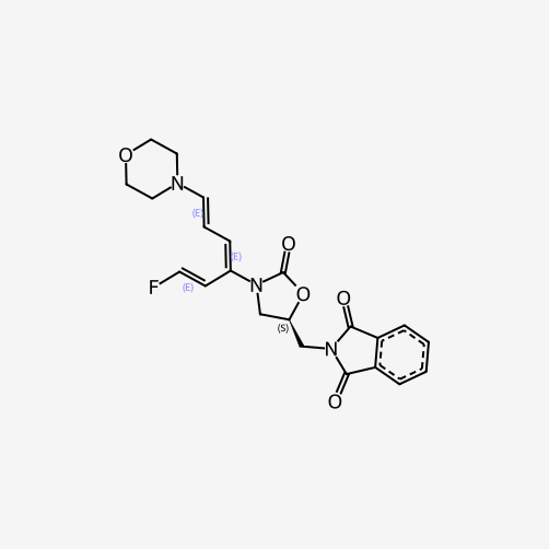 O=C1c2ccccc2C(=O)N1C[C@H]1CN(C(/C=C/F)=C/C=C/N2CCOCC2)C(=O)O1